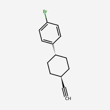 C#C[C@H]1CC[C@H](c2ccc(Br)cc2)CC1